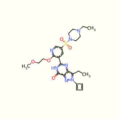 CCc1c2nc(-c3cc(S(=O)(=O)N4CCN(CC)CC4)cnc3OCCOC)[nH]c(=O)c2nn1C1=CC=C1